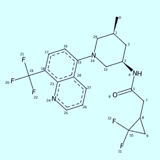 C[C@H]1C[C@@H](NC(=O)CC2CC2(F)F)CN(c2ccc(C(F)(F)F)c3ncccc23)C1